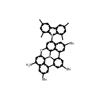 Cc1cc(C)c2c(c1)c1cc(C)cc(C)c1n2-c1cc2c3c4c(cc(C(C)(C)C)cc14)-c1cc(C(C)(C)C)cc4c1B3c1c(cc(N)c3cc(C(C)(C)C)cc-4c13)O2